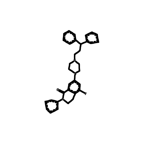 O=C1c2cc(N3CCN(CCC(c4ccccc4)c4ccccc4)CC3)cc(F)c2CCN1c1ccccc1